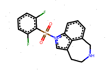 O=S(=O)(c1c(F)cccc1F)n1cc2c3c(cccc31)CNCC2